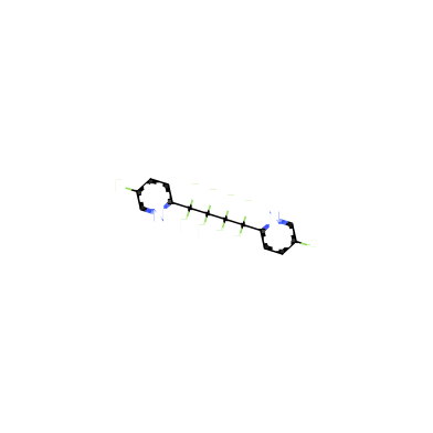 Fc1ccc(C(F)(F)C(F)(F)C(F)(F)C(F)(F)c2ccc(F)cn2)nc1